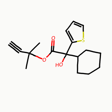 C#CC(C)(C)OC(=O)C(O)(c1cccs1)C1CCCCC1